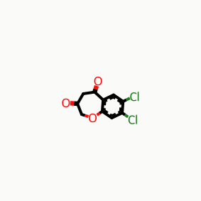 O=C1COc2cc(Cl)c(Cl)cc2C(=O)C1